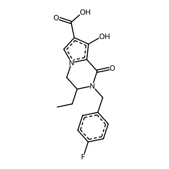 CCC1Cn2cc(C(=O)O)c(O)c2C(=O)N1Cc1ccc(F)cc1